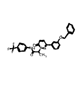 CC(C(=O)Nc1ccc(C(F)(F)F)cc1)n1nc(-c2cccc(OCc3ccccc3)c2)ccc1=O